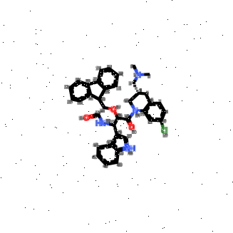 CN(C)C[C@@H]1Cc2ccc(Cl)cc2N(C(=O)C(OCC2c3ccccc3-c3ccccc32)C(NC=O)c2c[nH]c3ccccc23)C1